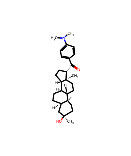 CN(C)c1ccc(C(=O)[C@H]2CC[C@H]3[C@@H]4CC[C@@H]5C[C@](C)(O)CC[C@@H]5[C@H]4CC[C@]23C)cc1